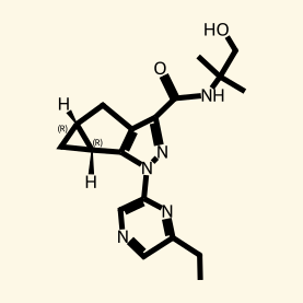 CCc1cncc(-n2nc(C(=O)NC(C)(C)CO)c3c2[C@@H]2C[C@@H]2C3)n1